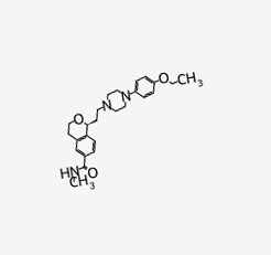 CCOc1ccc(N2CCN(CC[C@@H]3OCCc4cc(C(=O)NC)ccc43)CC2)cc1